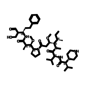 CC[C@H](C)[C@@H](C(CC(=O)N1CCC[C@H]1[C@H](OC)[C@@H](C)C(=O)N[C@@H](CCc1ccccc1)C(C=O)CO)OC)N(C)C(=O)[C@@H](NC(=O)[C@H](C(C)C)N1CCNCC1)C(C)C